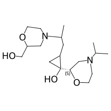 CC(C)N1CCO[C@H](C2(O)CC2CC(C)N2CCOC(CO)C2)C1